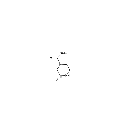 COC(=O)N1CCN[C@H](C)C1